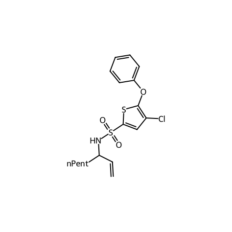 C=CC(CCCCC)NS(=O)(=O)c1cc(Cl)c(Oc2ccccc2)s1